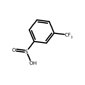 O=S(O)c1cccc(C(F)(F)F)c1